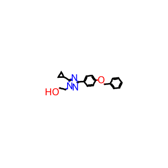 OCCn1nc(-c2ccc(OCc3ccccc3)cc2)nc1C1CC1